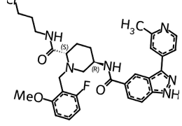 COc1cccc(F)c1CN1C[C@H](NC(=O)c2ccc3[nH]nc(-c4ccnc(C)c4)c3c2)CC[C@H]1C(=O)NCCCCl